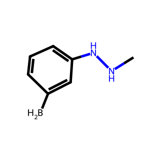 Bc1cccc(NNC)c1